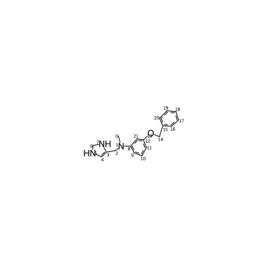 CN(CC1=CNCN1)c1cccc(OCc2ccccc2)c1